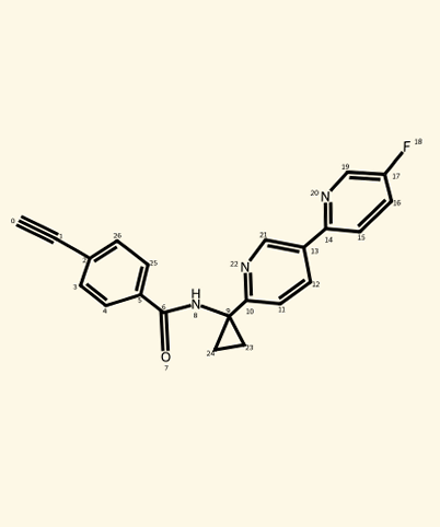 C#Cc1ccc(C(=O)NC2(c3ccc(-c4ccc(F)cn4)cn3)CC2)cc1